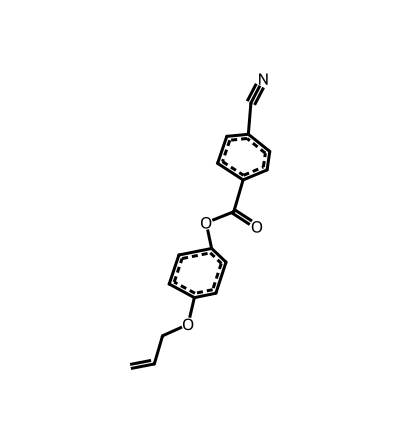 C=CCOc1ccc(OC(=O)c2ccc(C#N)cc2)cc1